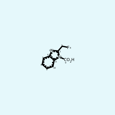 O=C(O)n1c(CF)nc2ccccc21